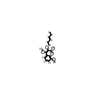 CCC=CCCOc1c(OC)c2cccc(OC)c2oc1=O